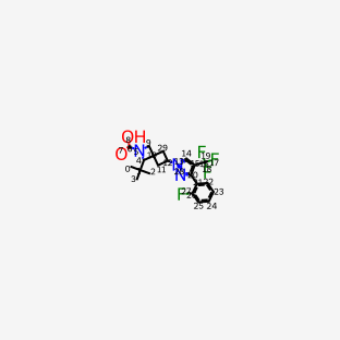 CC(C)(C)C1N(C(=O)O)CC12CC(n1cc(C(F)(F)F)c(-c3ccccc3F)n1)C2